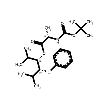 CC(C)[C@@H](Oc1ccccc1)[C@@H](OC(=O)[C@H](C)NC(=O)OC(C)(C)C)C(C)C